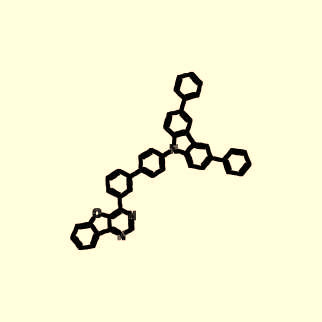 c1ccc(-c2ccc3c(c2)c2cc(-c4ccccc4)ccc2n3-c2ccc(-c3cccc(-c4ncnc5c4oc4ccccc45)c3)cc2)cc1